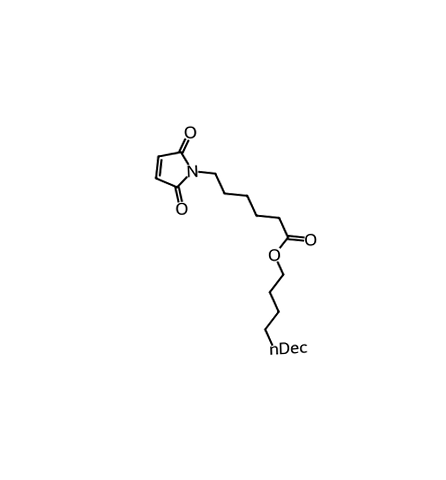 CCCCCCCCCCCCCCOC(=O)CCCCCN1C(=O)C=CC1=O